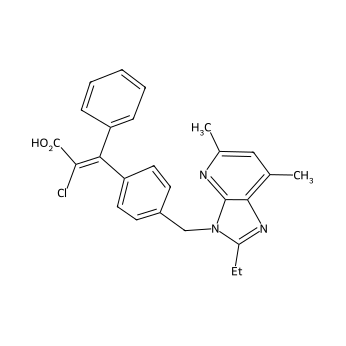 CCc1nc2c(C)cc(C)nc2n1Cc1ccc(/C(=C(\Cl)C(=O)O)c2ccccc2)cc1